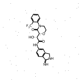 N=C1NCc2cc(NC(=O)[C@H](O)[C@H]3OCCN(c4ccccc4C(F)(F)F)C3=O)ccc21